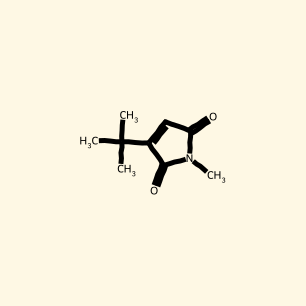 CN1C(=O)C=C(C(C)(C)C)C1=O